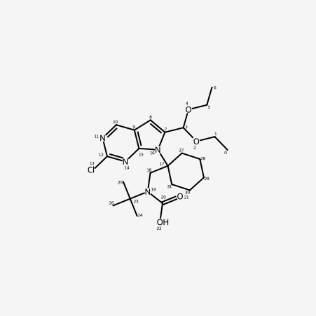 CCOC(OCC)c1cc2cnc(Cl)nc2n1C1(CN(C(=O)O)C(C)(C)C)CCCCC1